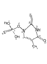 Cc1cn(OP(O)(O)=S)c(=O)[nH]c1=O